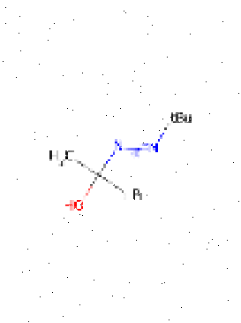 CCCC(C)(O)/N=N/C(C)(C)C